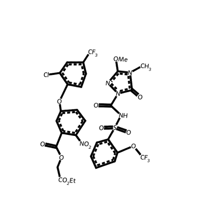 CCOC(=O)COC(=O)c1cc(Oc2ccc(C(F)(F)F)cc2Cl)ccc1[N+](=O)[O-].COc1nn(C(=O)NS(=O)(=O)c2ccccc2OC(F)(F)F)c(=O)n1C